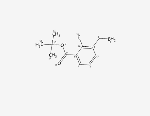 BCc1cccc(C(=O)OC(C)(C)C)c1F